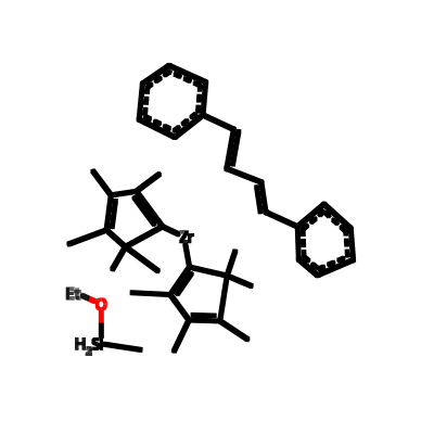 C(C=Cc1ccccc1)=Cc1ccccc1.CC1=C(C)C(C)(C)[C]([Zr][C]2=C(C)C(C)=C(C)C2(C)C)=C1C.CCO[SiH2]C